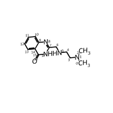 CN(C)CCNCc1nc2ccccc2c(=O)[nH]1